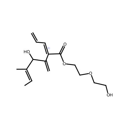 C=C/C=C(\C(=C)C(O)C(C)=CC)C(=O)OCCOCCO